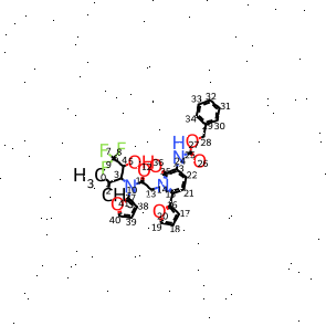 CC(C)C(C(O)C(F)(F)F)N(C(=O)Cn1c(-c2ccco2)ccc(NC(=O)OCc2ccccc2)c1=O)c1ccco1